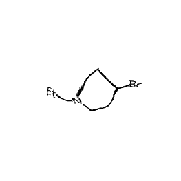 CCN1CCC(Br)CC1